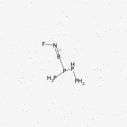 F/N=B/P(P)PP